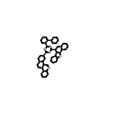 c1ccc(-c2ccccc2-c2nc(-c3ccc4ccc5c6ccccc6ncc5c4c3)nc(-c3cc4ccccc4c4oc5ccccc5c34)n2)cc1